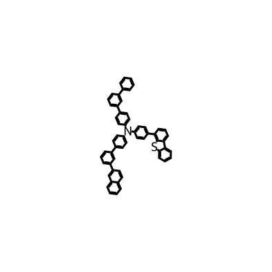 c1ccc(-c2cccc(-c3ccc(N(c4ccc(-c5cccc(-c6ccc7ccccc7c6)c5)cc4)c4ccc(-c5cccc6c5sc5ccccc56)cc4)cc3)c2)cc1